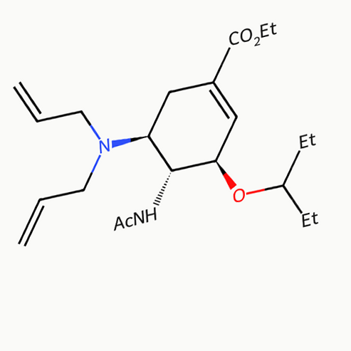 C=CCN(CC=C)[C@H]1CC(C(=O)OCC)=C[C@@H](OC(CC)CC)[C@@H]1NC(C)=O